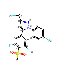 CS(=O)(=O)c1c(F)cc(-c2cc(C(F)F)nn2-c2ccc(F)cc2)cc1F